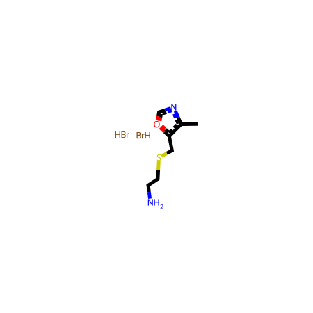 Br.Br.Cc1ncoc1CSCCN